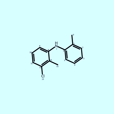 Cc1ccccc1Nc1cccc(Cl)c1C